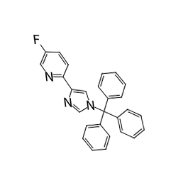 Fc1ccc(-c2cn(C(c3ccccc3)(c3ccccc3)c3ccccc3)cn2)nc1